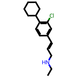 CCNCC=Cc1ccc(C2CCCCC2)c(Cl)c1